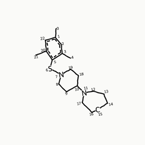 Cc1cc(C)c(SN2CCC(N3CCCCCC3)CC2)c(C)c1